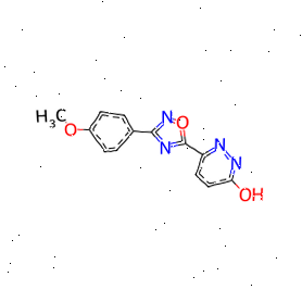 COc1ccc(-c2noc(-c3ccc(O)nn3)n2)cc1